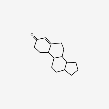 O=C1C=C2CCC3C4CCCC4CCC3C2CC1